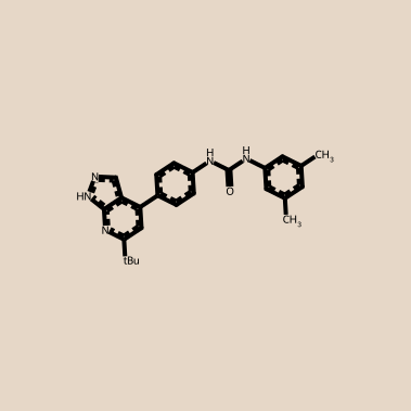 Cc1cc(C)cc(NC(=O)Nc2ccc(-c3cc(C(C)(C)C)nc4[nH]ncc34)cc2)c1